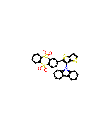 O=S1(=O)c2ccccc2S(=O)(=O)c2cc(-c3sc4ccsc4c3-n3c4ccccc4c4ccccc43)ccc21